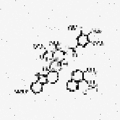 C=O.COC(=O)[C@H]1[C@H]2C[C@@H]3c4[nH]c5cc(OC)ccc5c4CCN3C[C@H]2C[C@@H](OC(=O)c2cc(OC)c(OC)c(OC)c2)[C@@H]1OC.Cc1ccc2ccccc2c1C